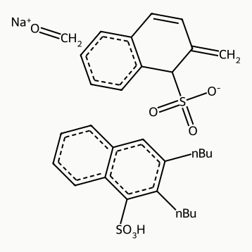 C=C1C=Cc2ccccc2C1S(=O)(=O)[O-].C=O.CCCCc1cc2ccccc2c(S(=O)(=O)O)c1CCCC.[Na+]